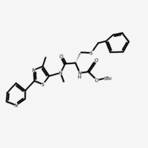 Cc1nc(-c2cccnc2)sc1N(C)C(=O)[C@H](CSCc1ccccc1)NC(=O)OC(C)(C)C